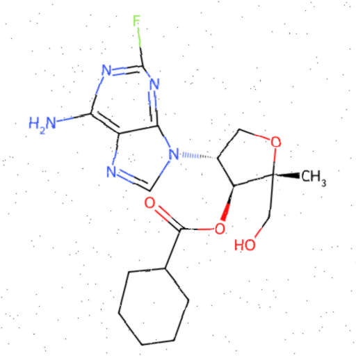 C[C@]1(CO)OC[C@@H](n2cnc3c(N)nc(F)nc32)[C@@H]1OC(=O)C1CCCCC1